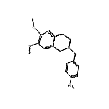 COc1cc2c(cc1OC)CN(Cc1ccc(N)cc1)CC2